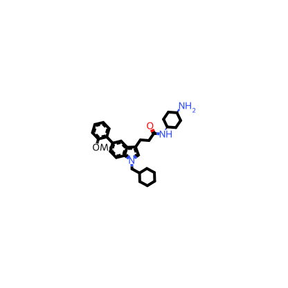 COc1ccccc1-c1ccc2c(c1)c(CCC(=O)N[C@H]1CC[C@H](N)CC1)cn2CC1CCCCC1